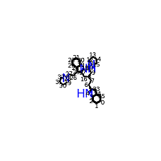 c1ccc2[nH]c(CCC(CCN3CCCC3)Cc3[nH]c4ccccc4c3CCN3CCCC3)cc2c1